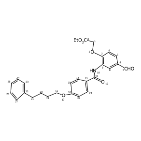 CCOC(=O)COc1ccc(C=O)cc1NC(=O)c1ccc(OCCCCc2ccccc2)cc1